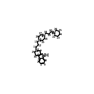 c1ccc2c3c([nH]c2c1)CN(CCCN1CCN(CCCN2CCCCC2)CC1)CC3